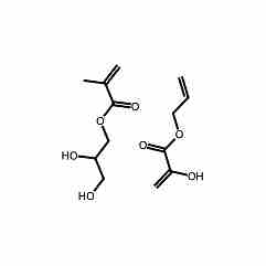 C=C(C)C(=O)OCC(O)CO.C=CCOC(=O)C(=C)O